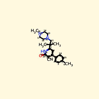 Cc1ccc(-c2cc(C(C)(C)CN3CCN(C)CC3)[nH]c(=O)c2C#N)cc1